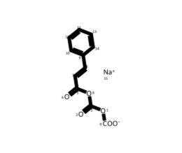 O=C([O-])OC(=O)OC(=O)/C=C/c1ccccc1.[Na+]